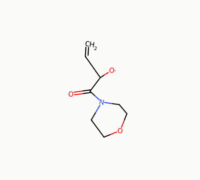 C=CC([O])C(=O)N1CCOCC1